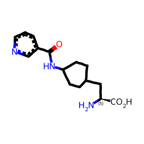 N[C@@H](CC1CCC(NC(=O)c2cccnc2)CC1)C(=O)O